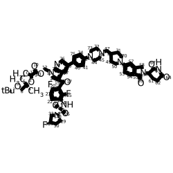 CC(OC(C)(C)COC(C)(C)C)C(=O)OCn1cc(C(=O)c2c(F)ccc(NS(=O)(=O)N3CC[C@@H](F)C3)c2F)c2cc(-c3ccc(N4CCN(CC5CCN(c6ccc7c(c6)CN(C6CCC(=O)NC6=O)C7=O)CC5)CC4)cc3)cnc21